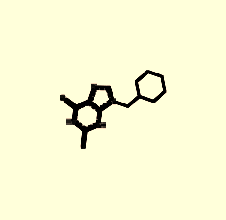 O=c1[nH]c(=O)c2ncn(CC3CCCCC3)c2[nH]1